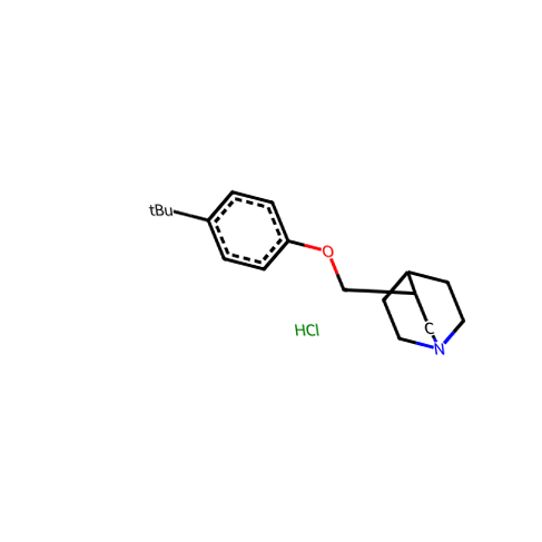 CC(C)(C)c1ccc(OCC2CN3CCC2CC3)cc1.Cl